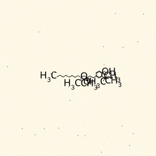 CCCCCCCCCC(OC(=O)CCc1ccc(O)c(C(C)(C)C)c1)C(C)C